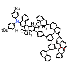 CC(C)(C)c1ccc(N(c2ccc(C(C)(C)C)cc2)c2cc3c(c4ccccc24)-c2cc4c(cc2C3(C)C)-c2ccc(-c3cc(-c5cc(-c6cccc7ccccc67)cc(-c6cccc7ccccc67)c5)cc(-c5c(-c6ccc7ccccc7c6)ccc6ccc(-c7ccc8ccccc8c7)cc56)c3)cc2C4(C)C)cc1